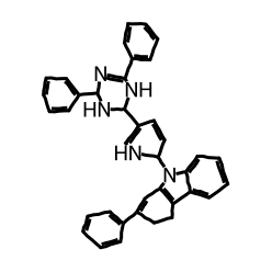 C1=CC(n2c3c(c4ccccc42)CCC(c2ccccc2)=C3)NC=C1C1NC(c2ccccc2)=NC(c2ccccc2)N1